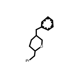 CC(C)CC1CCC(Cc2ccccc2)CO1